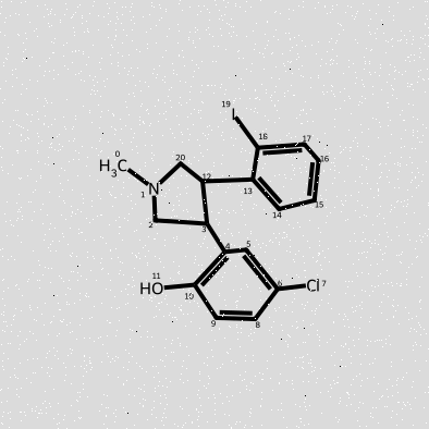 CN1CC(c2cc(Cl)ccc2O)C(c2ccccc2I)C1